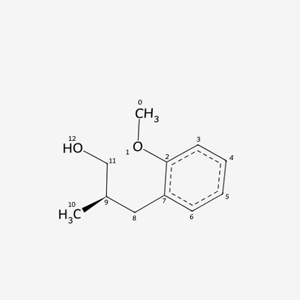 COc1ccccc1C[C@@H](C)CO